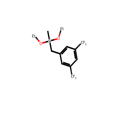 CCO[Si](C)(Cc1cc(C(F)(F)F)cc(C(F)(F)F)c1)OCC